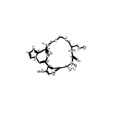 CCOCC1CCCCCOc2nc(cn3ccnc23)-c2cc(ncc2OC)[C@@H](C)N(CC)C(=O)N1